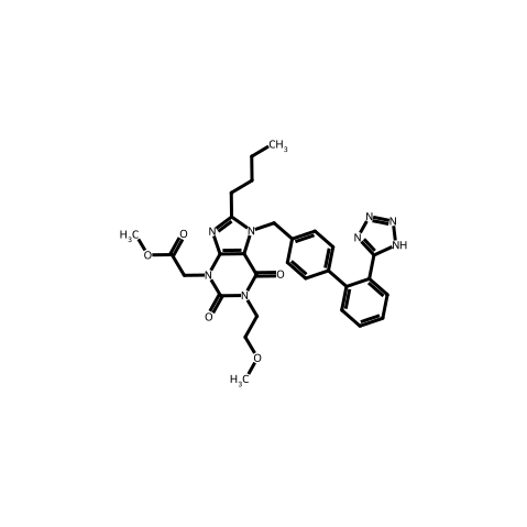 CCCCc1nc2c(c(=O)n(CCOC)c(=O)n2CC(=O)OC)n1Cc1ccc(-c2ccccc2-c2nnn[nH]2)cc1